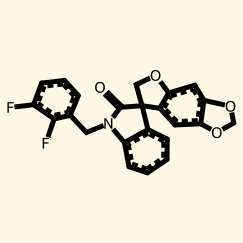 O=C1N(Cc2cccc(F)c2F)c2ccccc2C12COc1cc3c(cc12)OCO3